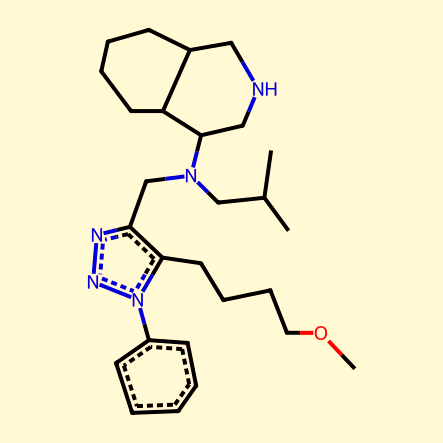 COCCCCc1c(CN(CC(C)C)C2CNCC3CCCCC32)nnn1-c1ccccc1